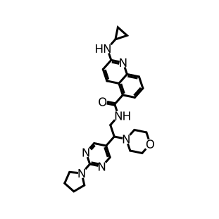 O=C(NCC(c1cnc(N2CCCC2)nc1)N1CCOCC1)c1cccc2nc(NC3CC3)ccc12